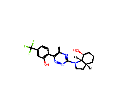 Cc1nc(N2CC[C@H]3CCC[C@H](O)[C@H]32)nnc1-c1ccc(C(F)(F)F)cc1O